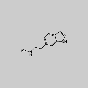 CC(C)NCCc1ccc2cc[nH]c2c1